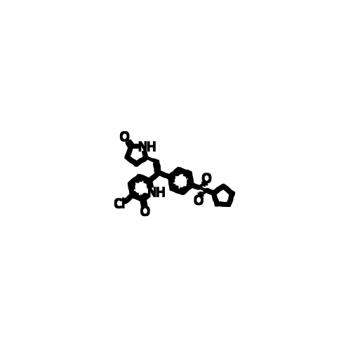 O=C1CC[C@H](/C=C(/c2ccc(S(=O)(=O)C3CCCC3)cc2)c2ccc(Cl)c(=O)[nH]2)N1